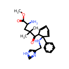 COC(=O)C(N)CC(C)(C)C(=O)C1C=CC=CC1(NCc1c[nH]cn1)c1ccccc1